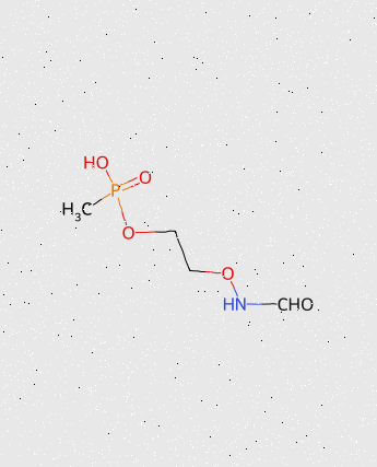 CP(=O)(O)OCCONC=O